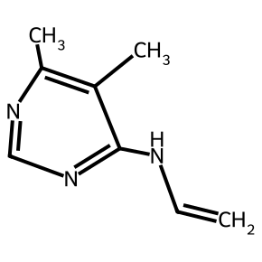 C=CNc1ncnc(C)c1C